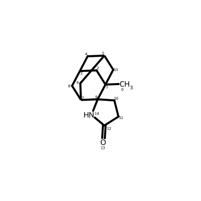 CC12CC3CC(CC(C3)C13CCC(=O)N3)C2